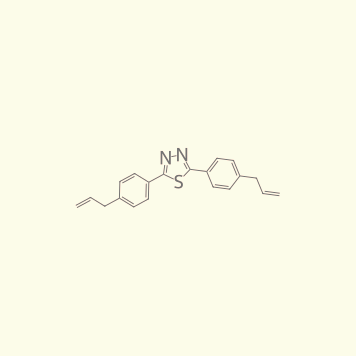 C=CCc1ccc(-c2nnc(-c3ccc(CC=C)cc3)s2)cc1